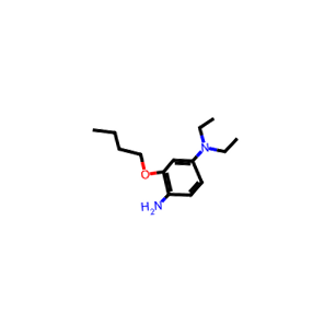 CCCCOc1cc(N(CC)CC)ccc1N